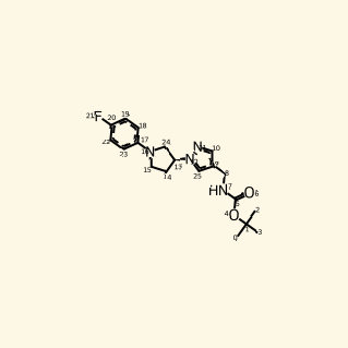 CC(C)(C)OC(=O)NCc1cnn([C@H]2CCN(c3ccc(F)cc3)C2)c1